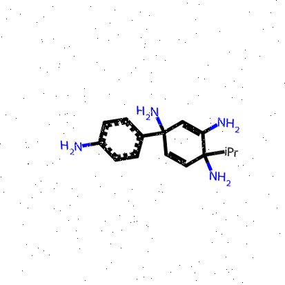 CC(C)C1(N)C=CC(N)(c2ccc(N)cc2)C=C1N